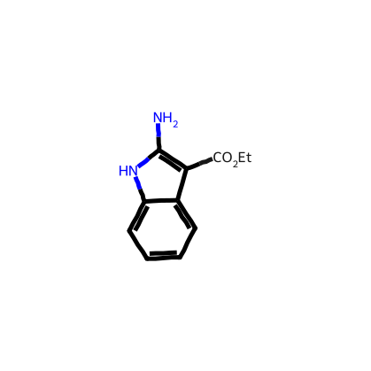 CCOC(=O)c1c(N)[nH]c2ccccc12